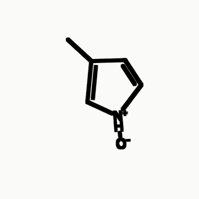 CC1=C[NH+]([O-])C=C1